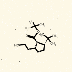 CC(C)(C)OC(=O)N1C(CCO)CC[C@H]1C(C)(C)C